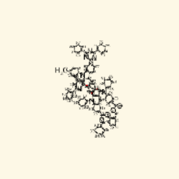 Cc1ccc(-n2c3ccc(-c4cc5c6c(c4)N(c4ccccc4)c4ccc(C(=O)OCc7ccccc7)cc4B6c4cc(C(=O)OCc6ccccc6)ccc4N5c4ccccc4)cc3c3ccc(-c4nc(-c5ccccc5)nc(-c5ccccc5)n4)cc32)c(-c2nc(-c3ccccc3)nc(-c3ccccc3)n2)c1